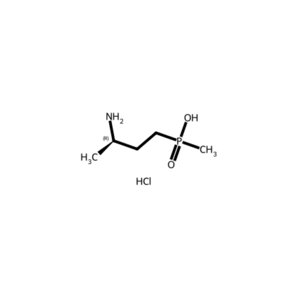 C[C@@H](N)CCP(C)(=O)O.Cl